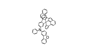 c1ccc(N(c2ccc3c(c2)C2(c4ccccc4-3)c3ccccc3-c3cccc4ccc(-c5cccc6ccccc56)c2c34)c2ccc3oc4ccccc4c3c2)cc1